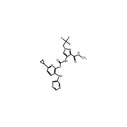 CNC(=O)c1nn(CC(F)(F)F)cc1NC(=O)Oc1nc(C2CC2)ccc1Nc1cncnc1